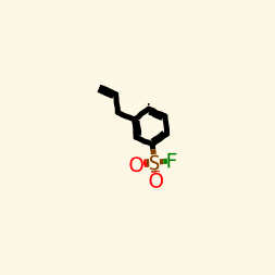 C=CCc1[c]ccc(S(=O)(=O)F)c1